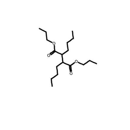 CCCCC(C(=O)OCCC)C(CCCC)C(=O)OCCC